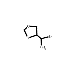 CC(Br)C1COCO1